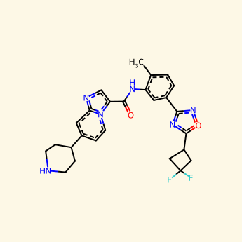 Cc1ccc(-c2noc(C3CC(F)(F)C3)n2)cc1NC(=O)c1cnc2cc(C3CCNCC3)ccn12